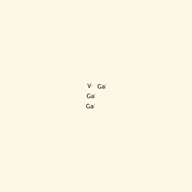 [Ga].[Ga].[Ga].[V]